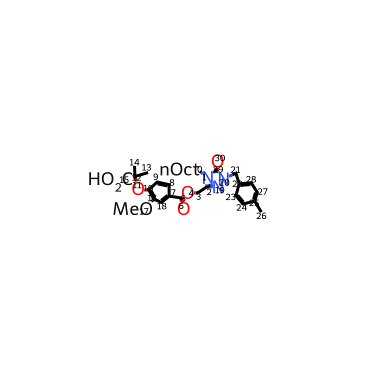 CCCCCCCCn1c(COC(=O)c2ccc(OC(C)(C)C(=O)O)c(OC)c2)nn(Cc2ccc(C)cc2)c1=O